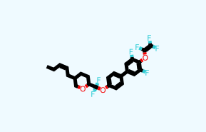 CC/C=C\CC1CCC(C(F)(F)Oc2ccc(-c3cc(F)c(OC(F)=C(F)F)c(F)c3)cc2)OC1